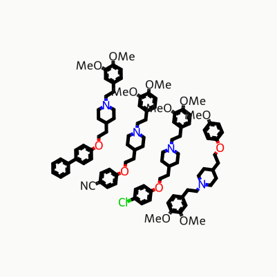 COc1ccc(CCN2CCC(CCOc3ccc(-c4ccccc4)cc3)CC2)cc1OC.COc1ccc(CCN2CCC(CCOc3ccc(C#N)cc3)CC2)cc1OC.COc1ccc(CCN2CCC(CCOc3ccc(Cl)cc3)CC2)cc1OC.COc1ccc(OCCC2CCN(CCc3ccc(OC)c(OC)c3)CC2)cc1